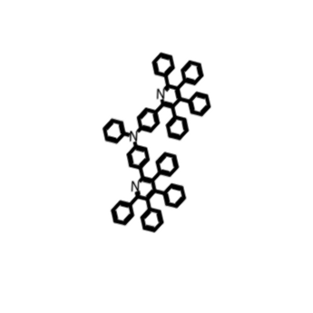 c1ccc(-c2nc(-c3ccc(N(c4ccccc4)c4ccc(-c5nc(-c6ccccc6)c(-c6ccccc6)c(-c6ccccc6)c5-c5ccccc5)cc4)cc3)c(-c3ccccc3)c(-c3ccccc3)c2-c2ccccc2)cc1